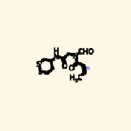 C/C=C\C(=O)N(C=O)CC(=O)NC1CCSSC1